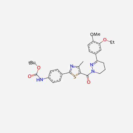 CCOc1cc(C2=NN(C(=O)c3sc(-c4ccc(NC(=O)OC(C)(C)C)cc4)nc3C)CCC2)ccc1OC